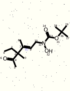 CCC(C)(C(C)=O)/C(C)=C/CN(O)C(=O)OC(C)(C)C